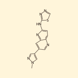 Cn1cc(-c2cnc3ccc(Nc4nncs4)nc3c2)cn1